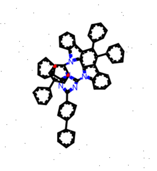 c1ccc(-c2ccc(-c3nc(-c4ccccc4)nc(-n4c5ccccc5c5c(-c6ccccc6)c(-c6ccccc6)c6c7ccccc7n(-c7ccc(-c8ccccc8)cc7)c6c54)n3)cc2)cc1